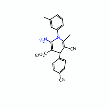 CCOC(=O)C1=C(N)N(c2cccc(C)c2)C(C)=C(C#N)C1c1ccc(C#N)cc1